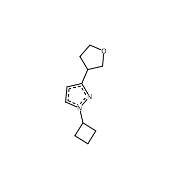 c1cn(C2CCC2)nc1C1CCOC1